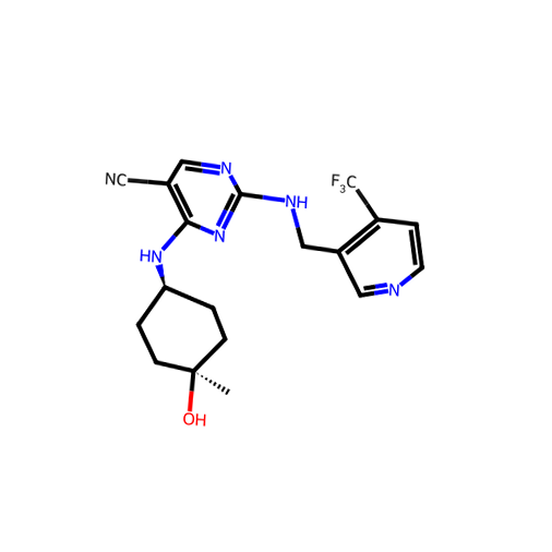 C[C@]1(O)CC[C@@H](Nc2nc(NCc3cnccc3C(F)(F)F)ncc2C#N)CC1